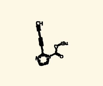 C#CC#Cc1nccn1C(=O)OC(C)(C)C